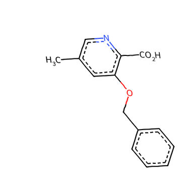 Cc1cnc(C(=O)O)c(OCc2ccccc2)c1